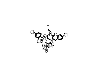 CS(=O)(=O)NC1CN(S(=O)(=O)c2ccc(Cl)cc2Cl)C2CN(CCF)C(=O)C(Cc3ccc(Cl)cc3)N2C1=O